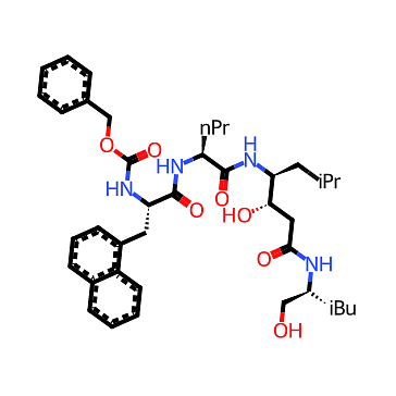 CCC[C@H](NC(=O)[C@H](Cc1cccc2ccccc12)NC(=O)OCc1ccccc1)C(=O)N[C@@H](CC(C)C)[C@@H](O)CC(=O)N[C@H](CO)[C@@H](C)CC